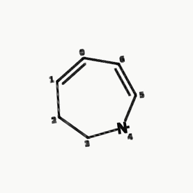 C1=CCC[N]C=C1